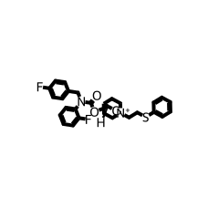 O=C(O[C@H]1C[N+]2(CCSc3ccccc3)CCC1CC2)N(Cc1ccc(F)cc1)c1ccccc1F